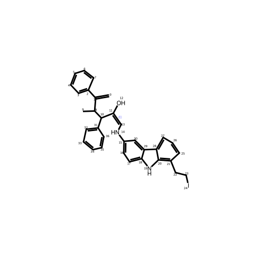 C=C(c1ccccc1)C(C)C(/C(O)=C\Nc1ccc2[nH]c3c(CCI)cccc3c2c1)c1ccccc1